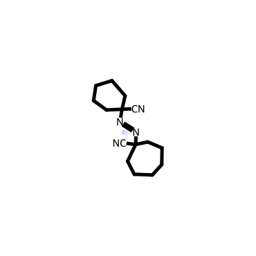 N#CC1(/N=N/C2(C#N)CCCCC2)CCCCCC1